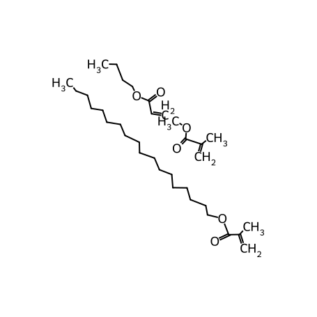 C=C(C)C(=O)OC.C=C(C)C(=O)OCCCCCCCCCCCCCCCCCC.C=CC(=O)OCCCC